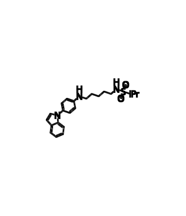 CC(C)S(=O)(=O)NCCCCCNc1ccc(-n2ccc3ccccc32)cc1